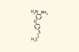 C=CCSc1ccc(Oc2ccc(N)c(N)c2)cc1